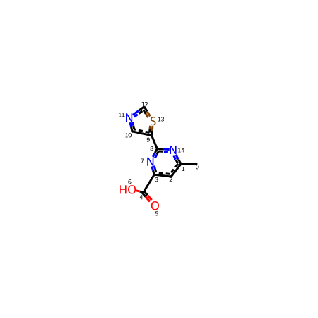 Cc1cc(C(=O)O)nc(-c2cncs2)n1